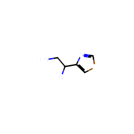 NCC(N)c1cscn1